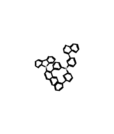 c1ccc(-c2cccc(N(c3cccc(-c4cccc5ccccc45)c3)c3cccc(-c4c(-n5c6ccccc6c6ccccc65)ccc5ccccc45)c3)c2)cc1